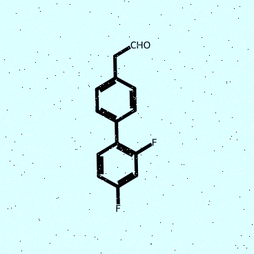 O=CCc1ccc(-c2ccc(F)cc2F)cc1